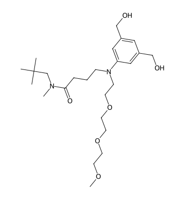 COCCOCCOCCN(CCCC(=O)N(C)CC(C)(C)C)c1cc(CO)cc(CO)c1